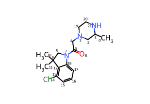 CC1CN(CC(=O)N2CC(C)(C)c3c(Cl)cccc32)CCN1